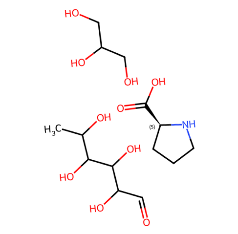 CC(O)C(O)C(O)C(O)C=O.O=C(O)[C@@H]1CCCN1.OCC(O)CO